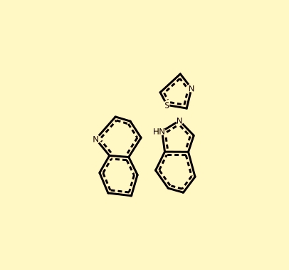 c1ccc2[nH]ncc2c1.c1ccc2ncccc2c1.c1cscn1